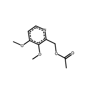 COc1ccnc(COC(C)=O)c1OC